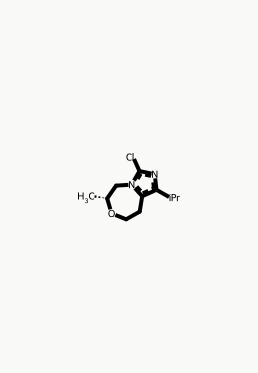 CC(C)c1nc(Cl)n2c1CCO[C@H](C)C2